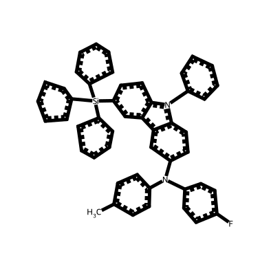 Cc1ccc(N(c2ccc(F)cc2)c2ccc3c(c2)c2cc([Si](c4ccccc4)(c4ccccc4)c4ccccc4)ccc2n3-c2ccccc2)cc1